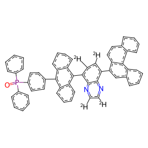 [2H]c1nc2c(-c3c4ccccc4c(-c4ccc(P(=O)(c5ccccc5)c5ccccc5)cc4)c4ccccc34)c([2H])c([2H])c(-c3cc4ccccc4c4c3ccc3ccccc34)c2nc1[2H]